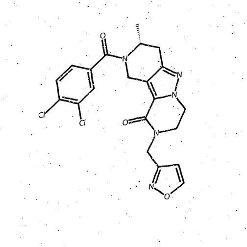 C[C@@H]1Cc2nn3c(c2CN1C(=O)c1ccc(Cl)c(Cl)c1)C(=O)N(Cc1ccon1)CC3